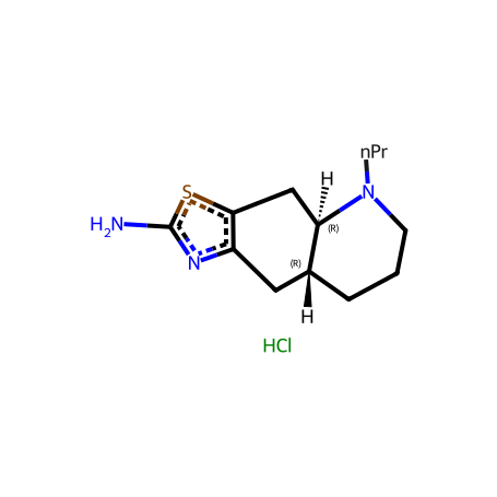 CCCN1CCC[C@@H]2Cc3nc(N)sc3C[C@H]21.Cl